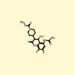 COC(=O)C(C1CCN(C(=O)OC(C)(C)C)CC1)C(O)c1cc(F)c(F)cc1NC(=O)C(C)(C)C